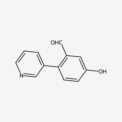 O=Cc1cc(O)ccc1-c1cccnc1